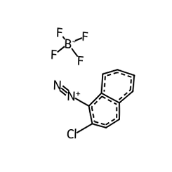 F[B-](F)(F)F.N#[N+]c1c(Cl)ccc2ccccc12